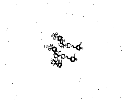 CN(C)S(=O)(=O)c1ccc2c(c1)c1ncnc(N3CCN(CCc4ccc(F)c(F)c4)CC3)c1n2C.CNS(=O)(=O)c1ccc2c(c1)c1ncnc(N3CCN(CCc4ccc(F)c(F)c4)CC3)c1n2C.c1ccc2c(c1)[nH]c1cncnc12